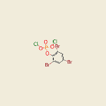 O=P(OCl)(OCl)Oc1c(Br)cc(Br)cc1Br